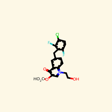 O=C(O)Oc1cn(CCO)c2ccc(Cc3c(F)ccc(Cl)c3F)cc2c1=O